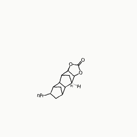 CCCC1CC2CC1C1C3C[C@@H](C4OC(=O)OC34)C21